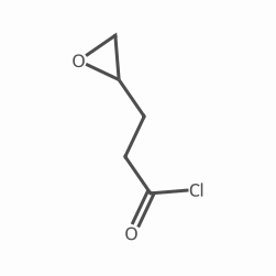 O=C(Cl)CCC1CO1